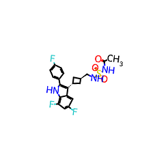 CC(=O)NS(=O)(=O)NC[C@H]1C[C@H](c2c(-c3ccc(F)cc3)[nH]c3c(F)cc(F)cc32)C1